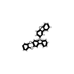 c1ccc2c(c1)Oc1cc3c4ccccc4n(-c4ccc5oc6ccccc6c5c4)c3cc1O2